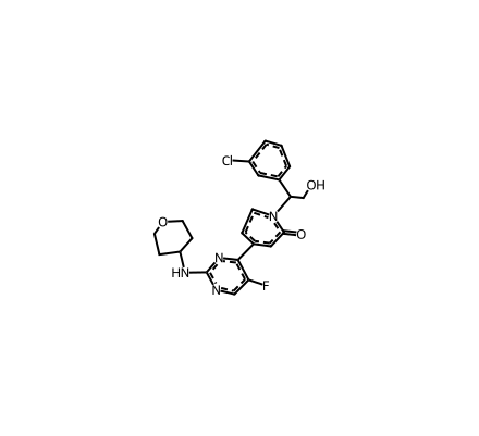 O=c1cc(-c2nc(NC3CCOCC3)ncc2F)ccn1C(CO)c1cccc(Cl)c1